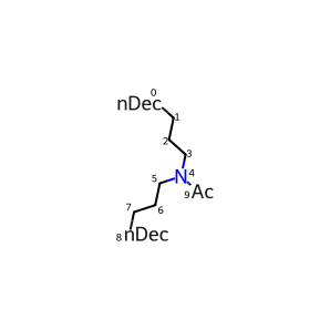 CCCCCCCCCCCCCN(CCCCCCCCCCCCC)C(C)=O